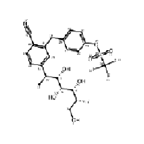 C[C@H](CO)[C@@H](O)[C@H](O)[C@@H](O)[C@@H](C)c1ccc(C#N)c(Cc2ccc(OS(=O)(=O)C(F)(F)F)cc2)c1